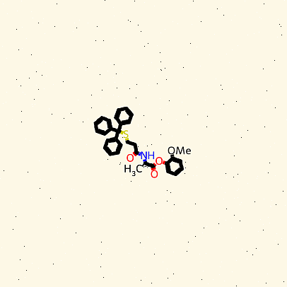 COc1ccccc1OC(=O)[C@H](C)NC(=O)CCSC(c1ccccc1)(c1ccccc1)c1ccccc1